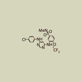 CNS(=O)(=O)c1ccc(OCC(F)(F)F)c(Nc2cc(Nc3ccc(Cl)cc3)ncn2)c1